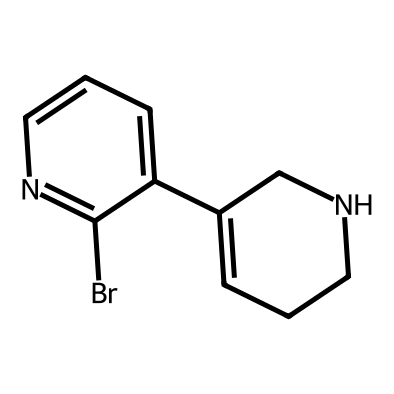 Brc1ncccc1C1=CCCNC1